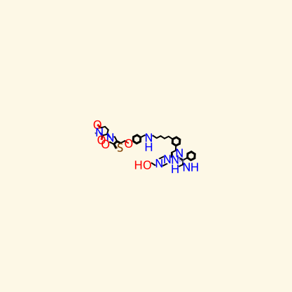 CC(=N)/C(=C1/N=C(c2cccc(CCCCCNCc3ccc(OCc4scc5c4CN(C4CCC(=O)N(C)C4=O)C5=O)cc3)c2)C=C(N2CCN(CCO)CC2)N1)c1ccccc1